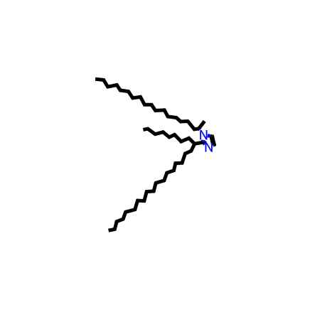 CCCCCCCCCCCCCCCCCCC(CCCCCCCC)c1nccn1C(C)CCCCCCCCCCCCCCCCC